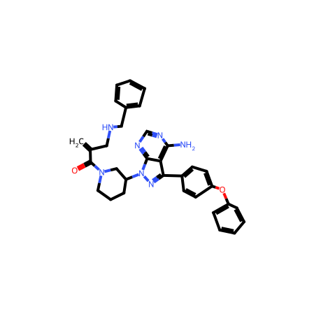 C=C(CNCc1ccccc1)C(=O)N1CCCC(n2nc(-c3ccc(Oc4ccccc4)cc3)c3c(N)ncnc32)C1